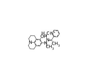 C/C(=N\N(C)c1cc2c3c(c1O)CCCN3CCC2)c1cccc[n+]1C